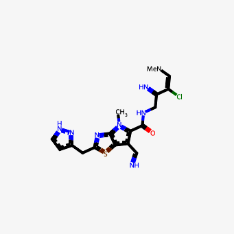 CN/C=C(/Cl)C(=N)CNC(=O)c1c(C=N)c2sc(Cc3cc[nH]n3)nc2n1C